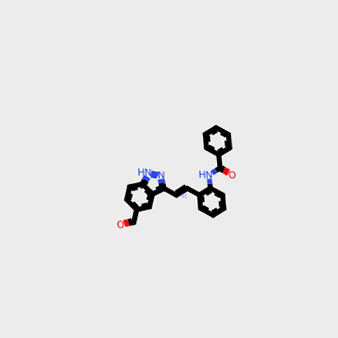 O=Cc1ccc2[nH]nc(/C=C/c3ccccc3NC(=O)c3ccccc3)c2c1